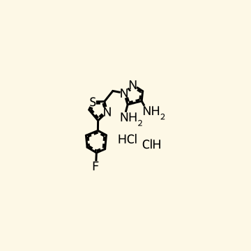 Cl.Cl.Nc1cnn(Cc2nc(-c3ccc(F)cc3)cs2)c1N